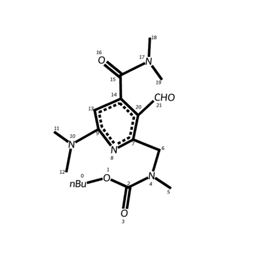 CCCCOC(=O)N(C)Cc1nc(N(C)C)cc(C(=O)N(C)C)c1C=O